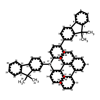 CC1(C)c2ccccc2-c2ccc(-c3ccc(N(c4ccc5c(c4)C(C)(C)c4ccccc4-5)c4ccccc4-c4cccc5cccc(-c6ccccc6)c45)cc3)cc21